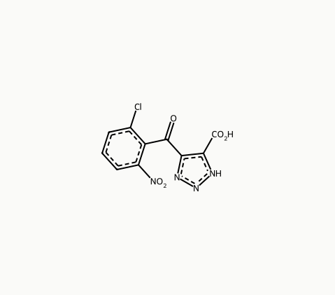 O=C(O)c1[nH]nnc1C(=O)c1c(Cl)cccc1[N+](=O)[O-]